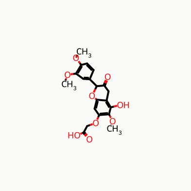 COc1ccc(C2Oc3cc(OCC(=O)O)c(OC)c(O)c3CC2=O)cc1OC